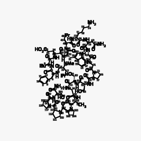 CCC(C)[C@H](NC(=O)[C@H](Cc1ccccc1)NC(=O)C(CC(C)C)NC)C(=O)N[C@@H](CCC(=O)O)C(=O)N[C@@H](Cc1c[nH]c2ccccc12)C(=O)N[C@@H](CC(C)C)C(=O)N[C@@H](CCCCN)C(=O)N[C@@H](CC(N)=O)C(=O)NCC(=O)NCC(=O)N1CCC[C@H]1C(=O)N[C@@H](CO)C(=O)N[C@@H](CO)C(=O)NCC(=O)N[C@@H](C)C(=O)N1CCC[C@H]1C(=O)N1CCC[C@H]1C(=O)N1CCC[C@H]1C(=O)N[C@@H](CO)C(N)=O